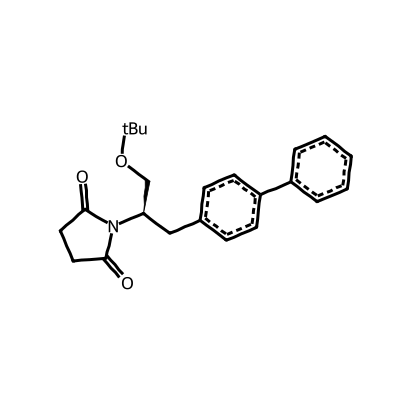 CC(C)(C)OC[C@@H](Cc1ccc(-c2ccccc2)cc1)N1C(=O)CCC1=O